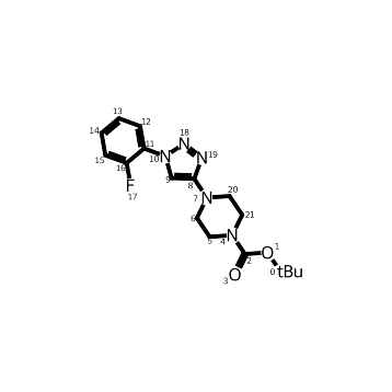 CC(C)(C)OC(=O)N1CCN(c2cn(-c3ccccc3F)nn2)CC1